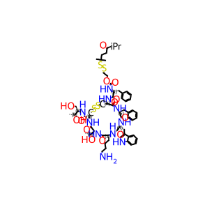 CC(C)C(=O)CCC(C)(C)SSCCOC(=O)N[C@H](Cc1ccccc1)C(=O)N[C@H]1CSSC[C@@H](C(=O)N[C@H](CO)[C@@H](C)O)NC(=O)C([C@@H](C)O)NC(=O)[C@H](CCCCN)NC(=O)[C@@H](Cc2c[nH]c3ccccc23)NC(=O)[C@H](Cc2ccccc2)NC1=O